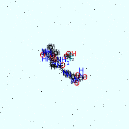 Cn1c(=O)n(C2CCC(=O)NC2=O)c2ccc(N3CCN(CCCC(=O)N4CC[C@H]5CC[C@@H](C(=O)N[C@@H](CCC(N)=O)C(=O)NC(c6ccccc6)c6ccccc6)N5C(=O)[C@@H](N)C4)CC3)cc21.O=C(O)C(F)(F)F